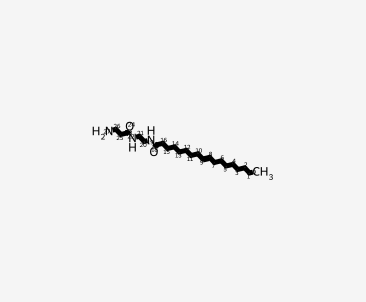 CCCCCCCCC=CCCCCCCCC(=O)NCCNC(=O)CCN